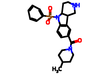 CC1CCN(C(=O)c2ccc3c(c2)C2CNCCC2N3S(=O)(=O)c2ccccc2)CC1